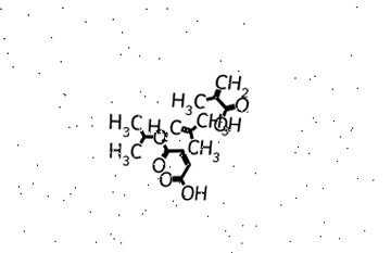 C=C(C)C.C=C(C)C(=O)O.CC(C)OC(=O)/C=C\C(=O)O